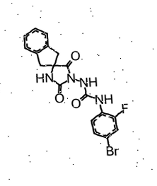 O=C(Nc1ccc(Br)cc1F)NN1C(=O)NC2(Cc3ccccc3C2)C1=O